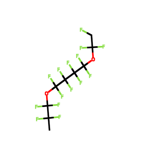 CC(F)(F)C(F)(F)OC(F)(F)C(F)(F)C(F)(F)C(F)(F)OC(F)(F)CF